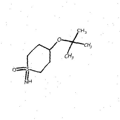 CC(C)(C)OC1CCS(=N)(=O)CC1